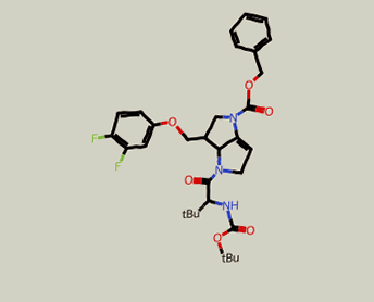 CC(C)(C)OC(=O)NC(C(=O)N1CC=C2C1C(COc1ccc(F)c(F)c1)CN2C(=O)OCc1ccccc1)C(C)(C)C